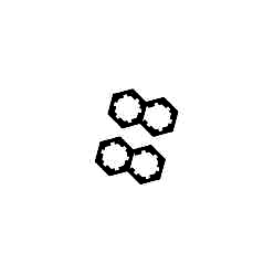 c1ccc2ccccc2c1.c1ccc2ccccc2c1